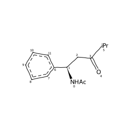 CC(=O)N[C@H](CC(=O)C(C)C)c1ccccc1